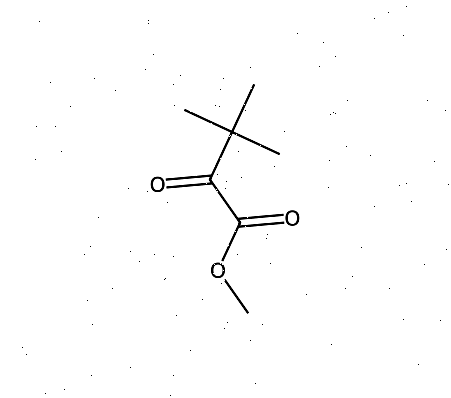 COC(=O)C(=O)C(C)(C)C